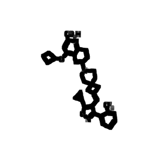 O=C(O)c1cc(OC2CCC2)c2cc(N3CCC4(CC3)CC(=Cc3c(-c5ccccc5C(F)(F)F)noc3C3CC3)C4)ccc2n1